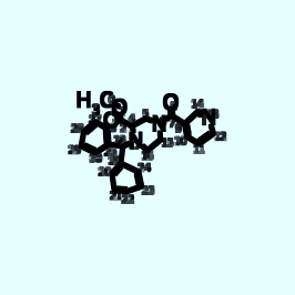 COC(=O)C1CN(C(=O)c2cccnc2)CCN1C(c1ccccc1)c1ccccc1